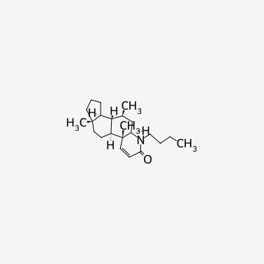 CCCCN1C(=O)C=C[C@]2(C)[C@H]3CC[C@]4(C)CCC[C@H]4[C@@H]3[C@@H](C)C[C@@H]12